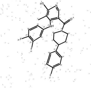 Cc1c(S)ncc(C(=O)N2CCC(c3ccc(F)cc3)CC2)c1Nc1ccc(F)c(F)c1